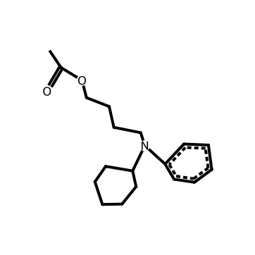 CC(=O)OCCCCN(c1ccccc1)C1CCCCC1